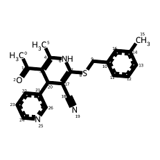 CC(=O)C1=C(C)NC(SCc2cccc(C)c2)=C(C#N)C1c1cccnc1